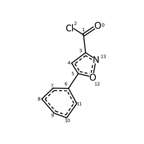 O=C(Cl)c1cc(-c2ccccc2)on1